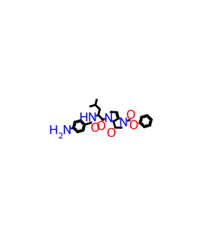 CC(C)CC(NC(=O)c1ccc(N)cc1)C(=O)N1CC=C2C1C(=O)CN2C(=O)Oc1ccccc1